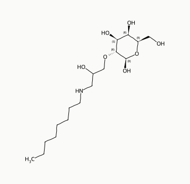 CCCCCCCCNCC(O)CO[C@@H]1[C@@H](O)[C@@H](O)[C@@H](CO)O[C@H]1O